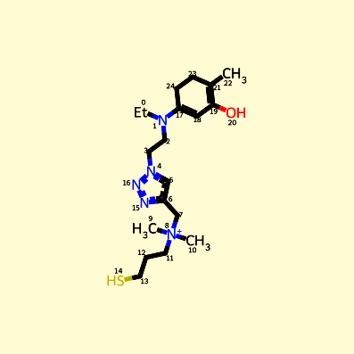 CCN(CCn1cc(C[N+](C)(C)CCCS)nn1)C1=CC(O)=C(C)CC1